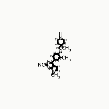 Cc1cc(-c2nc(C#N)nc3c2ccn3C)ccc1OCC1(C)CCNCC1